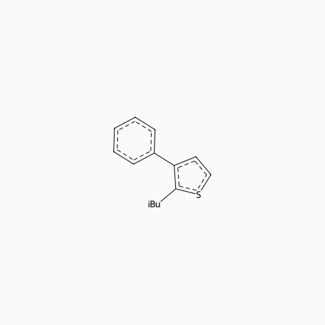 CCC(C)c1sccc1-c1ccccc1